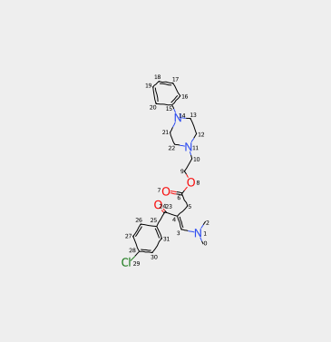 CN(C)C=C(CC(=O)OCCN1CCN(c2ccccc2)CC1)C(=O)c1ccc(Cl)cc1